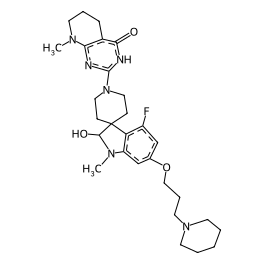 CN1CCCc2c1nc(N1CCC3(CC1)c1c(F)cc(OCCCN4CCCCC4)cc1N(C)C3O)[nH]c2=O